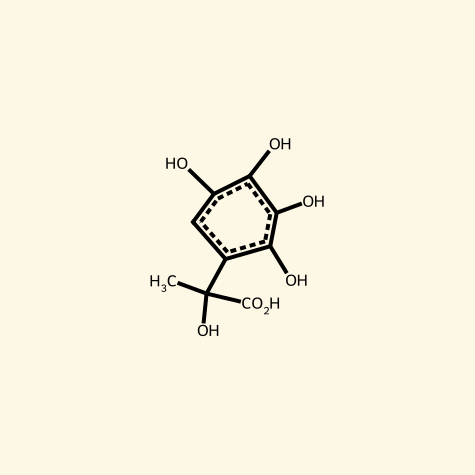 CC(O)(C(=O)O)c1cc(O)c(O)c(O)c1O